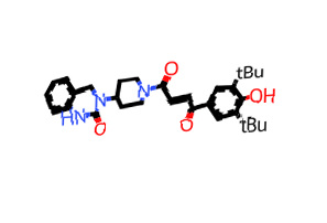 CC(C)(C)c1cc(C(=O)C=CC(=O)N2CCC(N3Cc4ccccc4NC3=O)CC2)cc(C(C)(C)C)c1O